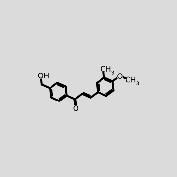 COc1ccc(/C=C/C(=O)c2ccc(CO)cc2)cc1C